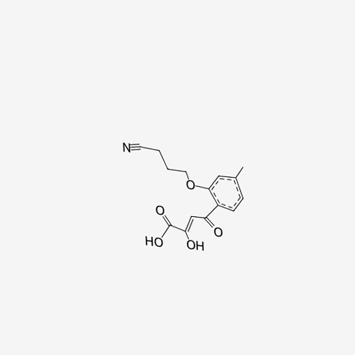 Cc1ccc(C(=O)C=C(O)C(=O)O)c(OCCCC#N)c1